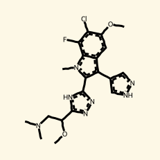 COc1cc2c(-c3cn[nH]c3)c(-c3nnc(C(CN(C)C)OC)[nH]3)n(C)c2c(F)c1Cl